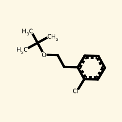 CC(C)(C)OCCc1ccccc1Cl